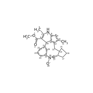 COC(=O)C1=C(C)Nc2sc(C)c(CC3CCCC3)c2C1c1cccc([N+](=O)[O-])c1